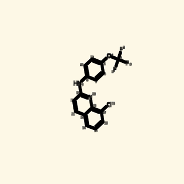 FC(F)(F)Oc1ccc(Nc2ccc3cccc(Cl)c3n2)cc1